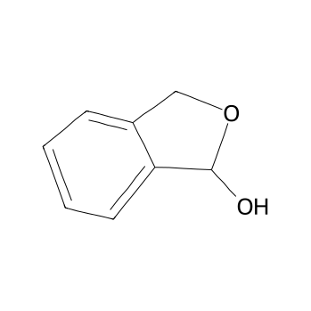 OC1OCc2ccccc21